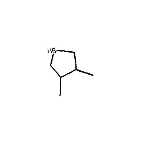 CC1CBCC1C